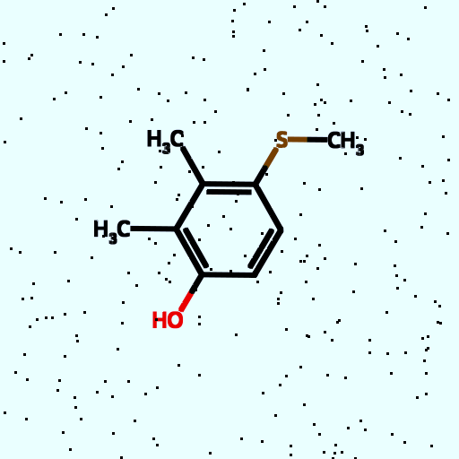 CSc1ccc(O)c(C)c1C